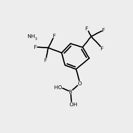 N.OB(O)Oc1cc(C(F)(F)F)cc(C(F)(F)F)c1